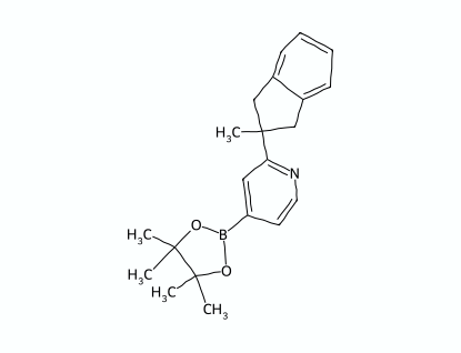 CC1(c2cc(B3OC(C)(C)C(C)(C)O3)ccn2)Cc2ccccc2C1